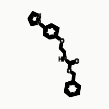 O=C(NCCOc1ccc(-n2cccn2)cc1)OCc1ccccc1